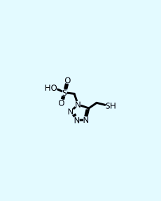 O=S(=O)(O)Cn1nnnc1CS